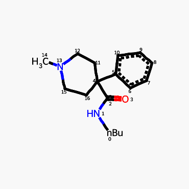 CCCCNC(=O)C1(c2ccccc2)CCN(C)CC1